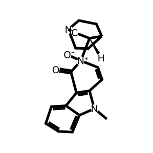 Cn1c2c(c3ccccc31)C(=O)[N+]([O-])([C@@H]1CN3CCC1CC3)C=C2